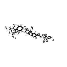 CNC(=O)c1c(C)oc2cc(Oc3ccnc(Nc4cccc(OCCNS(C)(=O)=O)c4)n3)ccc12